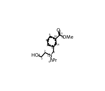 CCCN(CCO)Cc1cccc(C(=O)OC)c1